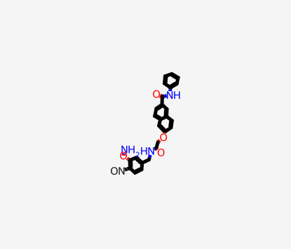 NOc1cc(CNC(=O)COc2ccc3cc(C(=O)Nc4ccccc4)ccc3c2)ccc1N=O